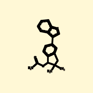 CC1(C)Cc2cc(-c3csc4ccccc34)ccc2C1OC(N)=O